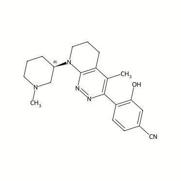 Cc1c(-c2ccc(C#N)cc2O)nnc2c1CCCN2[C@@H]1CCCN(C)C1